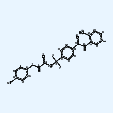 CC(C)(OC(=O)NCc1ccc(F)cc1)c1ccc(C(=O)Nc2ccccc2O)cc1